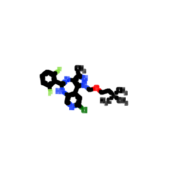 Cc1nn(COCC[Si](C)(C)C)c2c1N=C(c1c(F)cccc1F)Nc1cnc(Cl)cc1-2